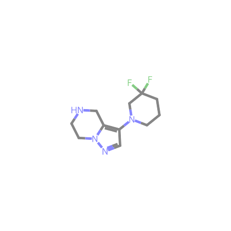 FC1(F)CCCN(c2cnn3c2CNCC3)C1